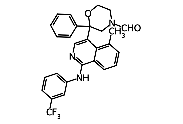 Cc1cccc2c(Nc3cccc(C(F)(F)F)c3)ncc(C3(c4ccccc4)CN(C=O)CCO3)c12